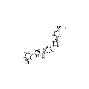 FC(F)(F)Oc1ccc(-n2cnc(-c3ccc(NC4=NC(c5cccc(Cl)c5)CO4)cc3)n2)cc1